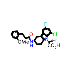 CCC(C(=O)O)n1c2c(c3cc(F)cc(Cl)c31)C[C@@H](NC(=O)CCc1ccccc1OC)CC2